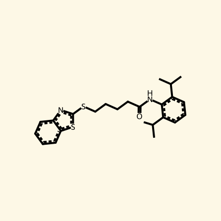 CC(C)c1cccc(C(C)C)c1NC(=O)CCCCSc1nc2ccccc2s1